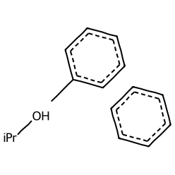 CC(C)O.Cc1ccccc1.c1ccccc1